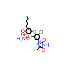 CCCCCc1cc(Oc2c(Cl)cc(-n3nc(C(F)F)c(=O)[nH]c3=O)cc2Cl)cc(S(N)(=O)=O)c1OC